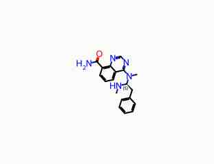 CN[C@H](Cc1ccccc1)N(C)c1ncnc2c(C(N)=O)cccc12